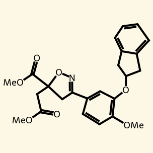 COC(=O)CC1(C(=O)OC)CC(c2ccc(OC)c(OC3Cc4ccccc4C3)c2)=NO1